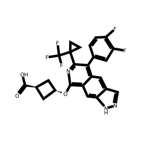 O=C(O)[C@H]1C[C@H](Oc2nc(C3(C(F)(F)F)CC3)c(-c3ccc(F)c(F)c3)c3cc4cn[nH]c4cc23)C1